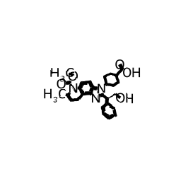 COC(=O)N1c2ccc3c(nc([C@@H](CO)c4ccccc4)n3C3CCC(C(=O)O)CC3)c2CCC1C